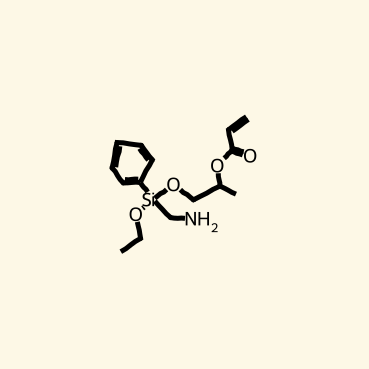 C=CC(=O)OC(C)CO[Si](CN)(OCC)c1ccccc1